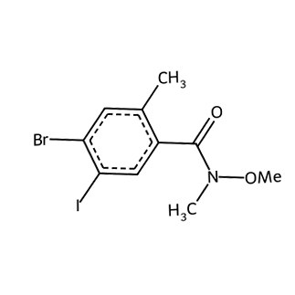 CON(C)C(=O)c1cc(I)c(Br)cc1C